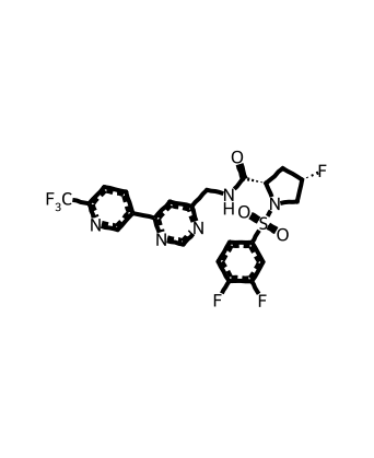 O=C(NCc1cc(-c2ccc(C(F)(F)F)nc2)ncn1)[C@@H]1C[C@H](F)CN1S(=O)(=O)c1ccc(F)c(F)c1